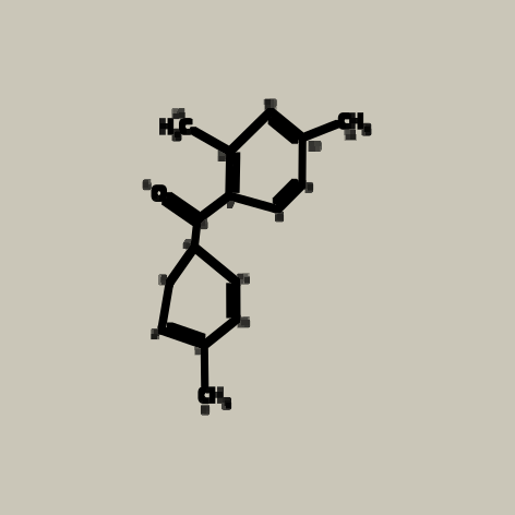 CC1=CCC(C(=O)c2ccc(C)cc2C)C=C1